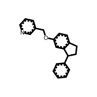 c1ccc(C2CCc3ccc(OCc4cccnc4)cc32)cc1